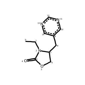 CCN1C(=O)OCC1Cc1cncnc1